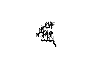 CCCCc1cc(CCCC)nc([C@@H]2CC[C@H]2c2nc3c(c(C#N)nn3[C@H](C)c3ccc(C(F)(F)F)nc3)c(=O)[nH]2)n1